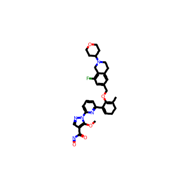 COc1c(C(=O)N=O)cnn1-c1cccc(C2=CCCC(C)=C2OCc2cc(F)c3c(c2)CCN(C2CCOCC2)C3)n1